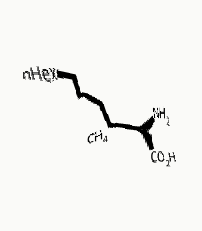 C.CCCCCCCCCCC(N)C(=O)O